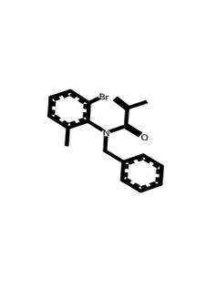 C=C(C)C(=O)N(Cc1ccccc1)c1c(C)cccc1Br